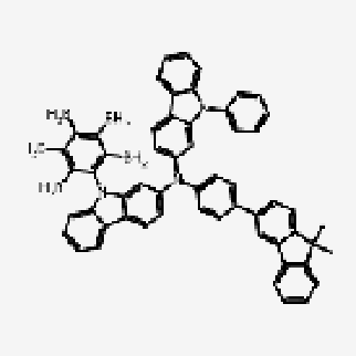 Bc1c(B)c(B)c(-n2c3ccccc3c3ccc(N(c4ccc(-c5ccc6c(c5)-c5ccccc5C6(C)C)cc4)c4ccc5c6ccccc6n(-c6ccccc6)c5c4)cc32)c(B)c1B